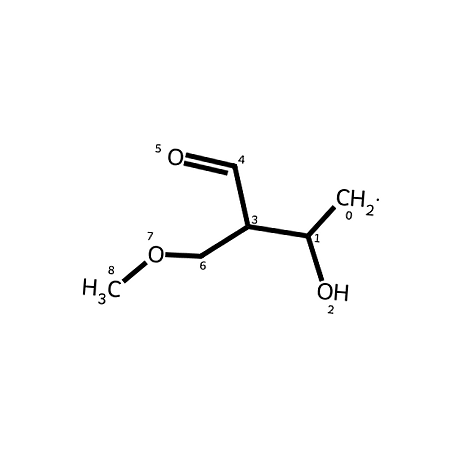 [CH2]C(O)C(C=O)COC